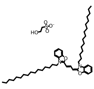 CCCCCCCCCCCCCCCCN1C(=CC=Cc2oc3ccccc3[n+]2CCCCCCCCCCCCCCCC)Oc2ccccc21.O=S(=O)([O-])CCO